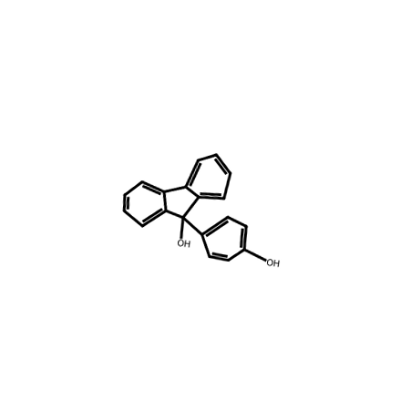 Oc1ccc(C2(O)c3ccccc3-c3ccccc32)cc1